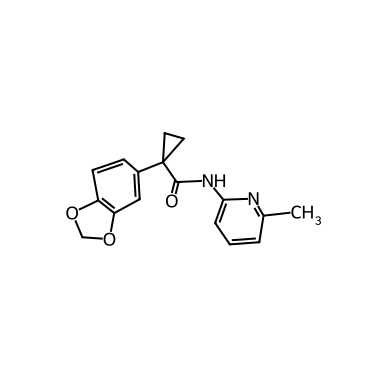 Cc1cccc(NC(=O)C2(c3ccc4c(c3)OCO4)CC2)n1